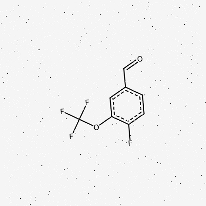 O=Cc1[c]cc(F)c(OC(F)(F)F)c1